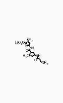 CCOC(=O)c1nc(NC(=O)C2CC(NC(=O)CCN)CN2C)cn1C